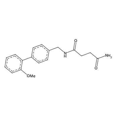 COc1ccccc1-c1ccc(CNC(=O)CCC(N)=O)cc1